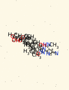 CNCCn1c(-c2ccc(C#N)cn2)nnc1C(O)[C@@]12CC[C@]3(C)[C@H](CC[C@@H]4[C@@]5(C)CC[C@H](OC(=O)CC(C)(C)C(=O)O)C(C)(C)[C@@H]5CC[C@]43C)C1=C(C(C)C)C(=O)C2